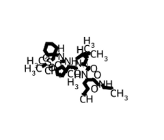 C#CCCC(NC(=O)[C@@H]1C2[C@H](CN1C(=O)[C@@H](NC(=O)NC1(CS(=O)(=O)C(C)(C)C)CCCCC1)C1(C)CCCC1)C2(C)C)C(=O)C(=O)NCCC